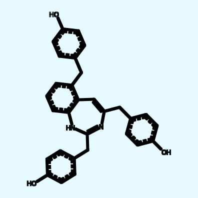 Oc1ccc(CC2=Cc3c(Cc4ccc(O)cc4)cccc3NC(Cc3ccc(O)cc3)=N2)cc1